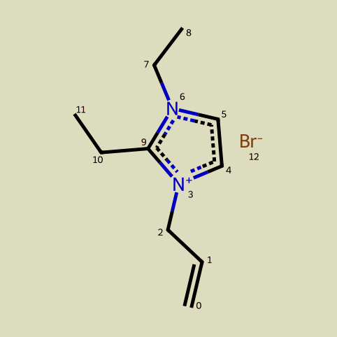 C=CC[n+]1ccn(CC)c1CC.[Br-]